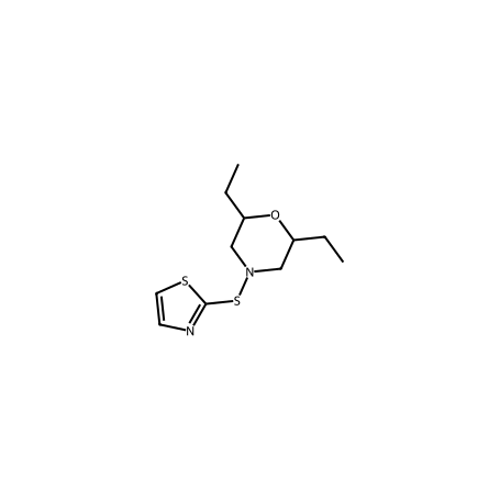 CCC1CN(Sc2nccs2)CC(CC)O1